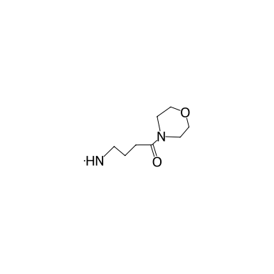 [NH]CCCC(=O)N1CCOCC1